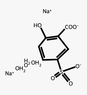 O.O.O.O=C([O-])c1cc(S(=O)(=O)[O-])ccc1O.[Na+].[Na+]